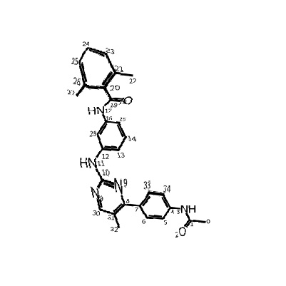 CC(=O)Nc1ccc(-c2nc(Nc3cccc(NC(=O)c4c(C)cccc4C)c3)ncc2C)cc1